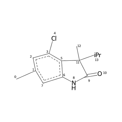 Cc1cc(Cl)c2c(c1)NC(=O)C2(C)C(C)C